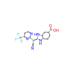 N#CC(=C1Nc2ccc(C(=O)O)cc2N1)c1nccc(C(F)(F)F)n1